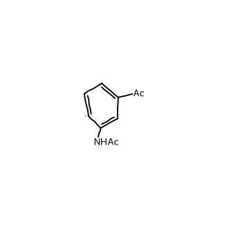 CC(=O)Nc1[c]ccc(C(C)=O)c1